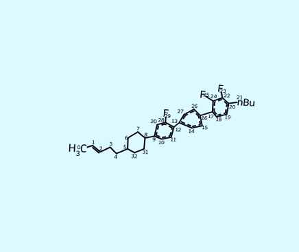 C/C=C/CCC1CCC(c2ccc(-c3ccc(-c4ccc(CCCC)c(F)c4F)cc3)c(F)c2)CC1